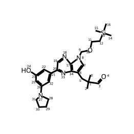 CC(C)(C=O)Cc1cn(COCC[Si](C)(C)C)c2ncc(-c3cc(O)cc(N4CCCC4)c3)nc12